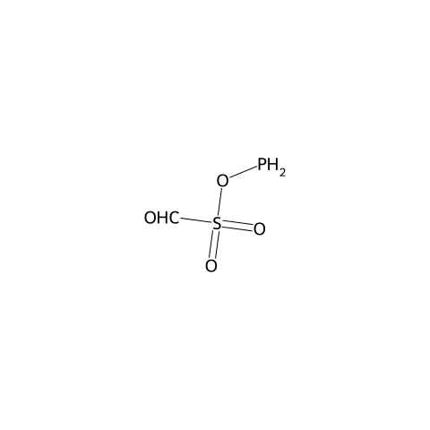 O=CS(=O)(=O)OP